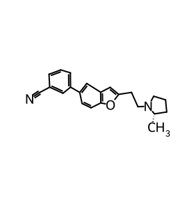 C[C@H]1CCCN1CCc1cc2cc(-c3cccc(C#N)c3)ccc2o1